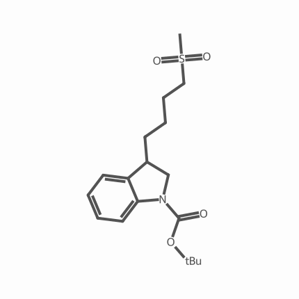 CC(C)(C)OC(=O)N1CC(CCCCS(C)(=O)=O)c2ccccc21